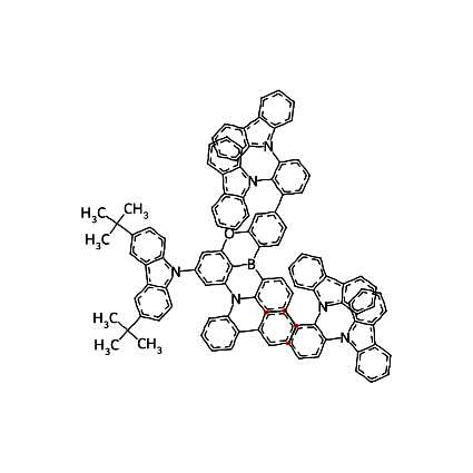 CC(C)(C)c1ccc2c(c1)c1cc(C(C)(C)C)ccc1n2-c1cc2c3c(c1)N(c1ccccc1-c1ccccc1)c1cc(-c4cccc(-n5c6ccccc6c6ccccc65)c4-n4c5ccccc5c5ccccc54)ccc1B3c1ccc(-c3cccc(-n4c5ccccc5c5ccccc54)c3-n3c4ccccc4c4ccccc43)cc1O2